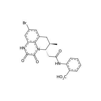 C[C@@H]1Cc2cc(Br)cc3[nH]c(=O)c(=O)n(c23)[C@H]1CC(=O)Nc1ccccc1C(=O)O